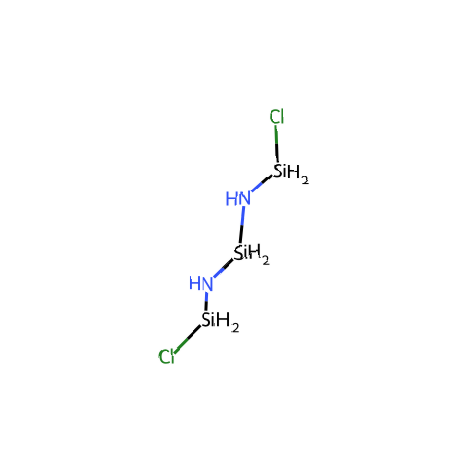 Cl[SiH2]N[SiH2]N[SiH2]Cl